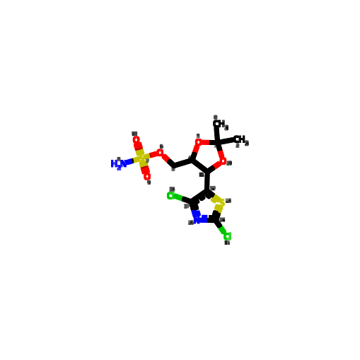 CC1(C)OC(COS(N)(=O)=O)C(c2sc(Cl)nc2Cl)O1